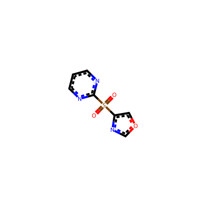 O=S(=O)(c1cocn1)c1ncccn1